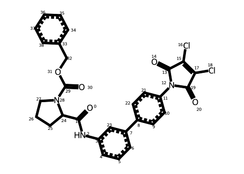 O=C(Nc1cccc(-c2ccc(N3C(=O)C(Cl)=C(Cl)C3=O)cc2)c1)C1CCCN1C(=O)OCc1ccccc1